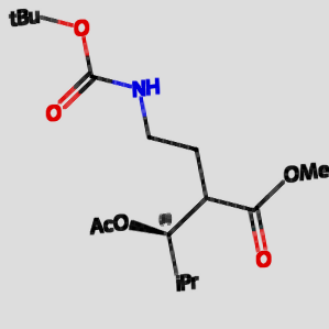 COC(=O)C(CCNC(=O)OC(C)(C)C)[C@H](OC(C)=O)C(C)C